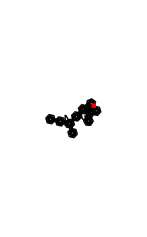 c1ccc(-c2ccc(-c3cc(-c4ccccc4)cc(-c4ccc(-c5ccc6c(c5)C5(c7ccccc7-6)c6ccccc6-c6c5oc5ccccc65)cc4)n3)cc2)cc1